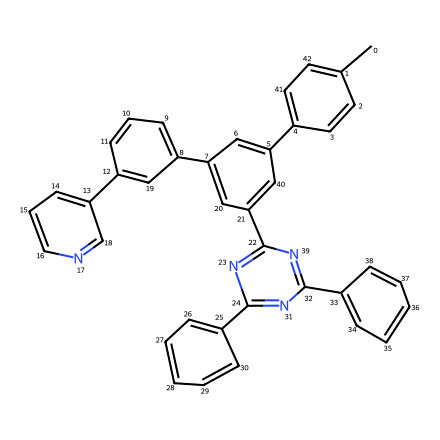 Cc1ccc(-c2cc(-c3cccc(-c4cccnc4)c3)cc(-c3nc(-c4ccccc4)nc(-c4ccccc4)n3)c2)cc1